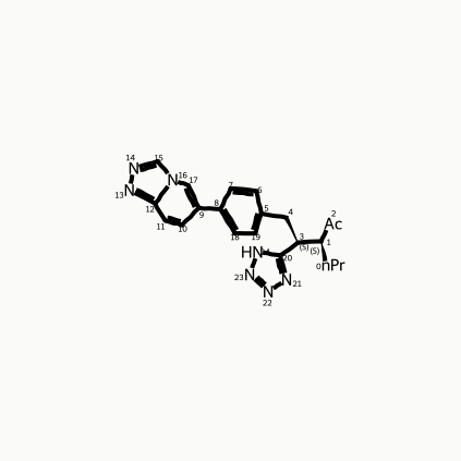 CCC[C@H](C(C)=O)[C@H](Cc1ccc(-c2ccc3nncn3c2)cc1)c1nnn[nH]1